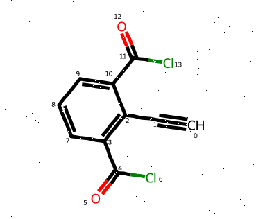 C#Cc1c(C(=O)Cl)cccc1C(=O)Cl